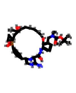 CN(Cc1cccc2c1OCCCCCCC(C)(O)CC1(CC1)S(=O)(=O)c1ccc(cc1)-c1cnc(N)c(n1)C(=O)N2)C(=O)OC(C)(C)C